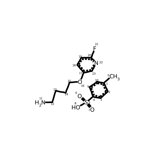 Cc1ccc(S(=O)(=O)O)cc1.NCCCCOc1ccc(F)nc1